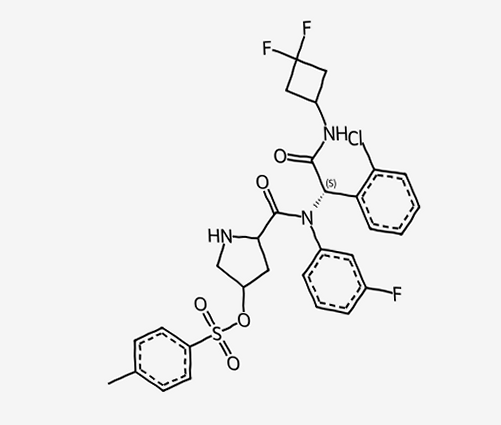 Cc1ccc(S(=O)(=O)OC2CNC(C(=O)N(c3cccc(F)c3)[C@H](C(=O)NC3CC(F)(F)C3)c3ccccc3Cl)C2)cc1